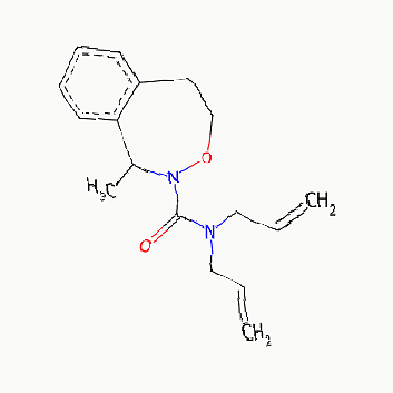 C=CCN(CC=C)C(=O)N1OCCc2ccccc2C1C